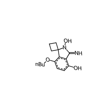 CCCCOc1ccc(O)c2c1C1(CCC1)N(O)C2=N